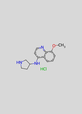 COc1cccc2c(NC3CCNC3)ccnc12.Cl